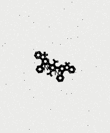 CC(C)c1c2c3cc4c(c5c6ccccc6n(c2c(C(C)C)c2c1c1cc6c(c7c8ccccc8n2c17)-c1ccccc1C6(C)C)c35)-c1ccccc1C4(C)C